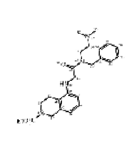 CCOC(=O)N1CCc2c(cccc2NCC(=O)N(CCN(C)C)Cc2ccccc2)C1